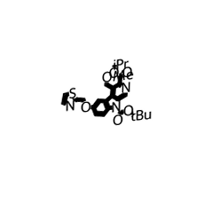 COCc1c(C(=O)OC(C)C)ncc2c1c1cc(OCc3nccs3)ccc1n2C(=O)OC(C)(C)C